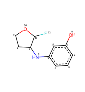 Oc1cccc(NC2CCO[C]2F)c1